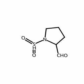 O=CC1CCCN1[SH](=O)=O